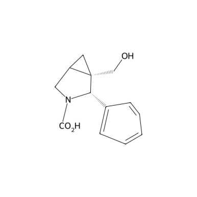 O=C(O)N1CC2C[C@@]2(CO)[C@@H]1c1ccccc1